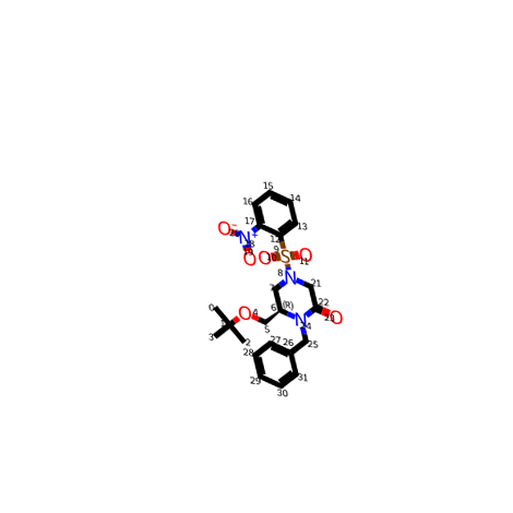 CC(C)(C)OC[C@H]1CN(S(=O)(=O)c2ccccc2[N+](=O)[O-])CC(=O)N1Cc1ccccc1